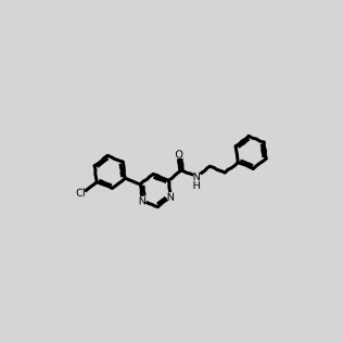 O=C(NCCc1ccccc1)c1cc(-c2cccc(Cl)c2)ncn1